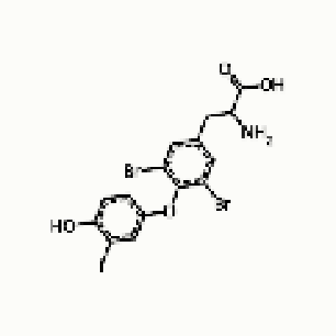 NC(Cc1cc(Br)c(Oc2ccc(O)c(I)c2)c(Br)c1)C(=O)O